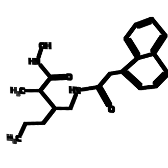 CCCC(CNC(=O)Cc1cccc2ccccc12)C(C)C(=O)NO